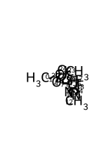 CCCS(=O)(=O)c1cc(-c2nc(C)ncc2C(F)(F)F)sc1C(C)=O